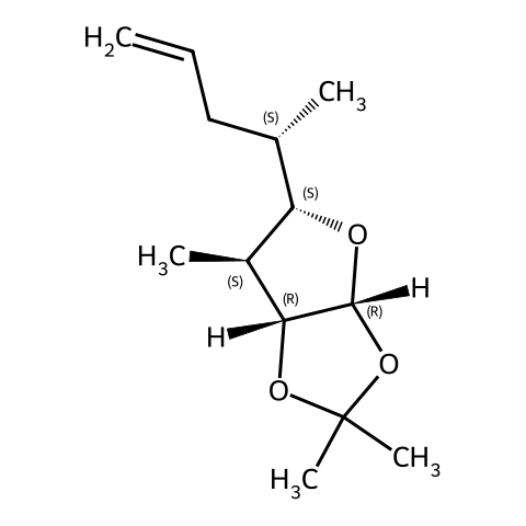 C=CC[C@H](C)[C@@H]1O[C@@H]2OC(C)(C)O[C@@H]2[C@H]1C